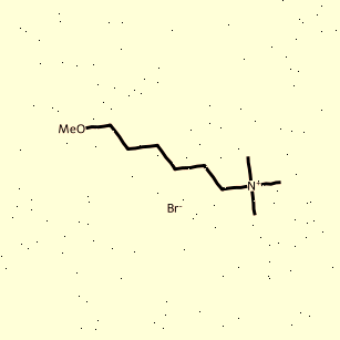 COCCCCCC[N+](C)(C)C.[Br-]